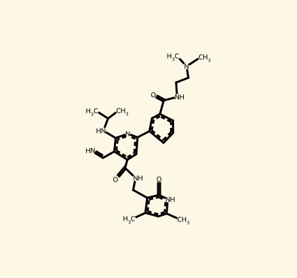 Cc1cc(C)c(CNC(=O)c2cc(-c3cccc(C(=O)NCCN(C)C)c3)nc(NC(C)C)c2C=N)c(=O)[nH]1